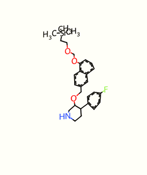 C[Si](C)(C)CCOCOc1cccc2cc(COC3CNCCC3c3ccc(F)cc3)ccc12